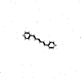 C(C=Cc1ccncc1)=C/C=C/c1ccncc1